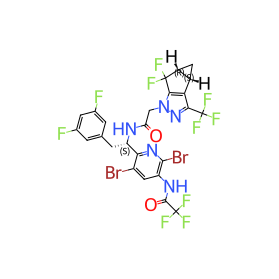 O=C(Cn1nc(C(F)(F)F)c2c1C(F)(F)[C@@H]1C[C@H]21)N[C@@H](Cc1cc(F)cc(F)c1)c1nc(Br)c(NC(=O)C(F)(F)F)cc1Br